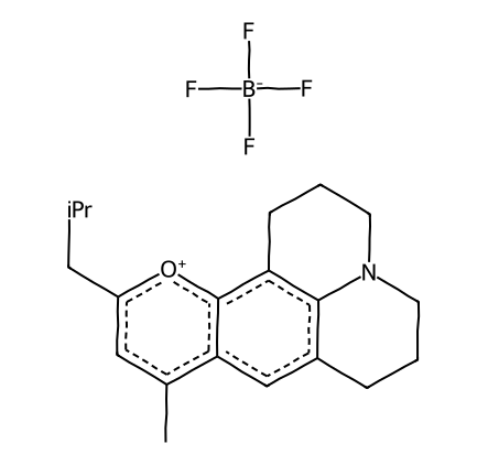 Cc1cc(CC(C)C)[o+]c2c3c4c(cc12)CCCN4CCC3.F[B-](F)(F)F